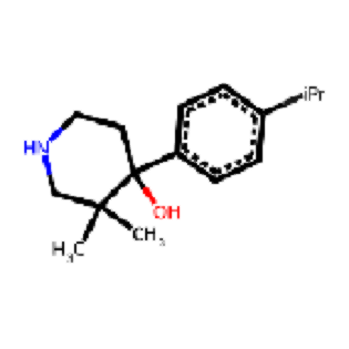 CC(C)c1ccc(C2(O)CCNCC2(C)C)cc1